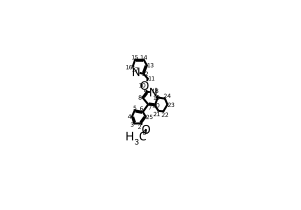 COc1cccc(-c2cc(OCc3ccccn3)nc3c2CCCC3)c1